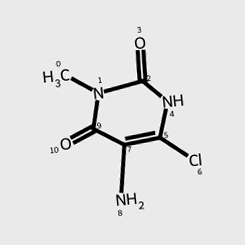 Cn1c(=O)[nH]c(Cl)c(N)c1=O